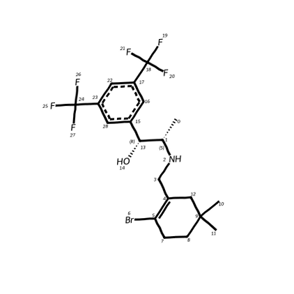 C[C@H](NCC1=C(Br)CCC(C)(C)C1)[C@H](O)c1cc(C(F)(F)F)cc(C(F)(F)F)c1